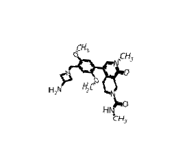 CNC(=O)N1CCc2c(-c3cc(OC)c(CN4CC(N)C4)cc3OC)cn(C)c(=O)c2C1